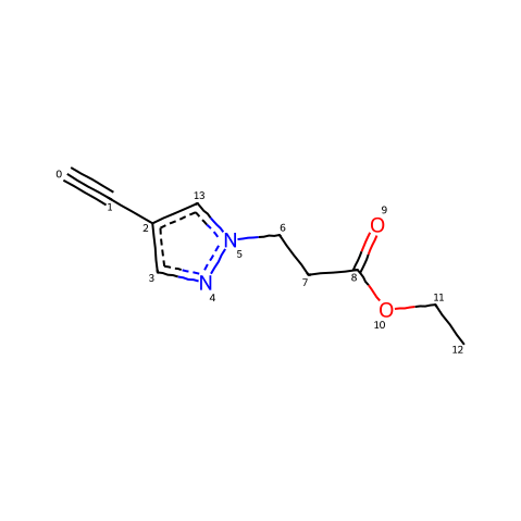 C#Cc1cnn(CCC(=O)OCC)c1